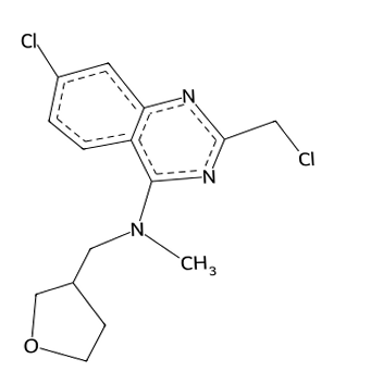 CN(CC1CCOC1)c1nc(CCl)nc2cc(Cl)ccc12